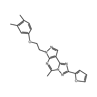 Cc1ccc(OCCn2ncc3c2nc(C)n2nc(-c4ccco4)nc32)cc1C